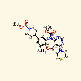 Cc1cc(C2CCN(C(=O)OC(C)(C)C)CC2)cc2c1OCc1c(N3CCSCC3)ncnc1N2C(=O)OC(C)(C)C